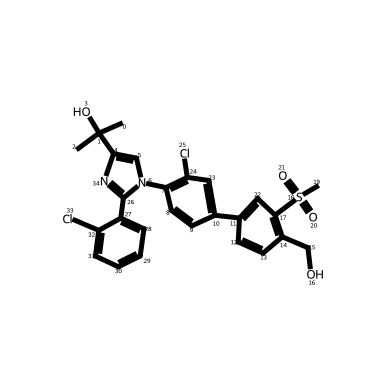 CC(C)(O)c1cn(-c2ccc(-c3ccc(CO)c(S(C)(=O)=O)c3)cc2Cl)c(-c2ccccc2Cl)n1